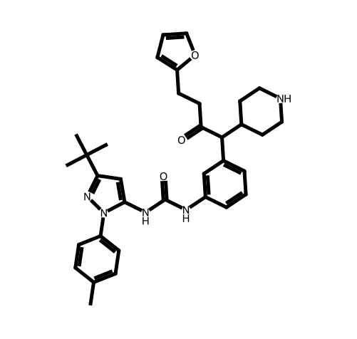 Cc1ccc(-n2nc(C(C)(C)C)cc2NC(=O)Nc2cccc(C(C(=O)CCc3ccco3)C3CCNCC3)c2)cc1